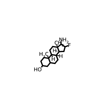 C[C@]12CCC(O)CC1CC[C@@H]1[C@H]2CC[C@]2(C)C(N)C(F)C[C@@H]12